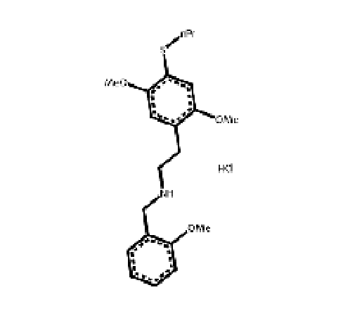 CCCSc1cc(OC)c(CCNCc2ccccc2OC)cc1OC.Cl